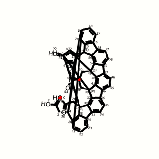 O=C(O)C[C@]12C3=C4[C@@H]5C6=C3[C@]3(CCOO)c7c8ccc(c71)-c1ccc7c(c12)[C@@]4(CC(=O)O)c1c-7ccc2c1[C@@]5(CCOO)c1c-2ccc2c1[C@@]6(CCOO)c1c-2ccc-8c13